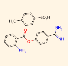 Cc1ccc(S(=O)(=O)O)cc1.N=C(N)c1ccc(OC(=O)c2ccccc2N)cc1